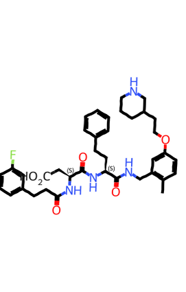 Cc1ccc(OCCC2CCCNC2)cc1CNC(=O)[C@H](CCc1ccccc1)NC(=O)[C@H](CC(=O)O)NC(=O)CCc1cccc(F)c1